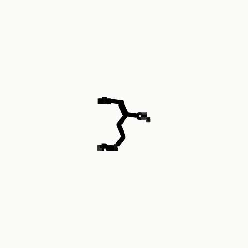 CCCCC=C(C)CCCCCCC